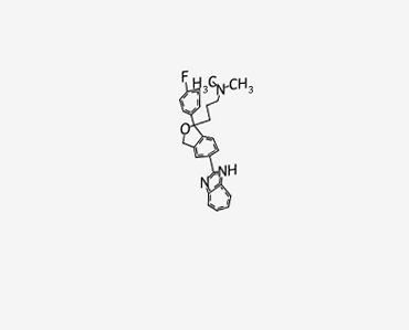 CN(C)CCCC1(c2ccc(F)cc2)OCc2cc(-c3nc4ccccc4[nH]3)ccc21